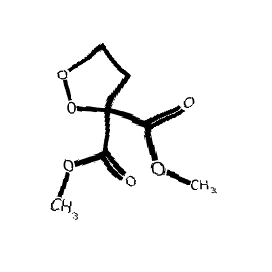 COC(=O)C1(C(=O)OC)CCOO1